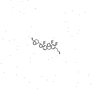 C=CCCc1cc2c(c(F)c1F)Oc1c(ccc(OCC3CCC(C=C)OC3)c1F)C2